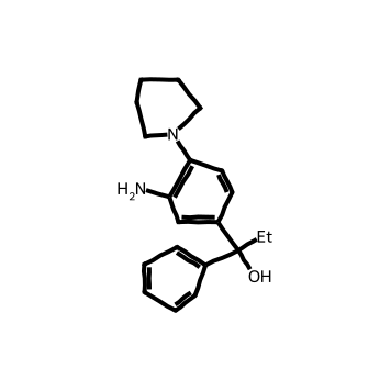 CCC(O)(c1ccccc1)c1ccc(N2CCCCC2)c(N)c1